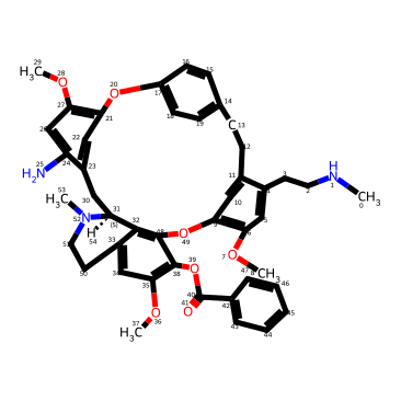 CNCCc1cc(OC)c2cc1CCc1ccc(cc1)Oc1cc(c(N)cc1OC)C[C@H]1c3c(cc(OC)c(OC(=O)c4ccccc4)c3O2)CCN1C